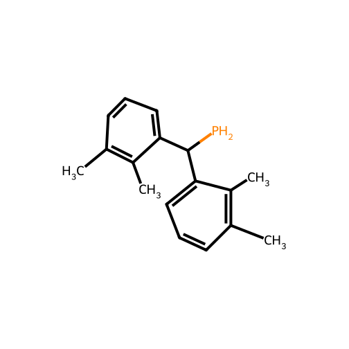 Cc1cccc(C(P)c2cccc(C)c2C)c1C